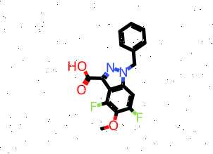 COc1c(F)cc2c(c(C(=O)O)nn2Cc2ccccc2)c1F